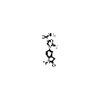 CCN1C(=O)Cc2cc(N3C[C@H](C(N)=O)OC3=O)ccc21